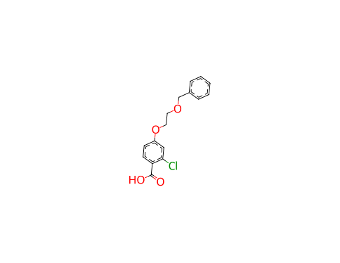 O=C(O)c1ccc(OCCOCc2ccccc2)cc1Cl